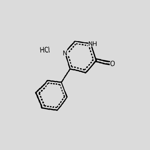 Cl.O=c1cc(-c2ccccc2)nc[nH]1